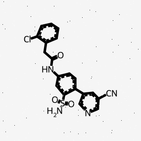 N#Cc1cncc(-c2ccc(NC(=O)Cc3ccccc3Cl)cc2S(N)(=O)=O)c1